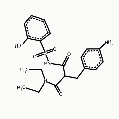 CCN(CC)C(=O)C(Cc1ccc(N)cc1)C(=O)NS(=O)(=O)c1ccccc1C